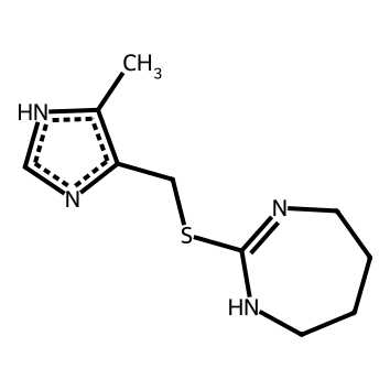 Cc1[nH]cnc1CSC1=NCCCCN1